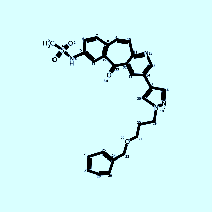 CS(=O)(=O)Nc1ccc2ccc3ncc(-c4cnn(CCCOCc5ccccc5)c4)cc3c(=O)c2c1